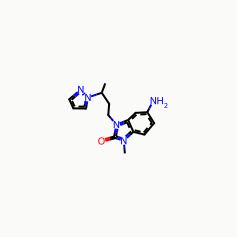 CC(CCn1c(=O)n(C)c2ccc(N)cc21)n1cccn1